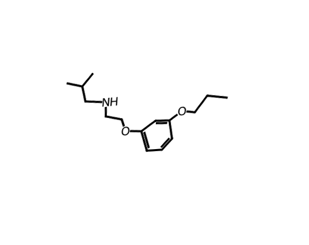 CCCOc1cccc(OCCNCC(C)C)c1